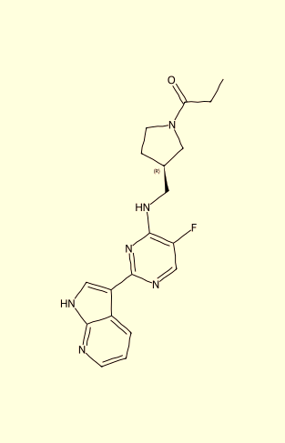 CCC(=O)N1CC[C@H](CNc2nc(-c3c[nH]c4ncccc34)ncc2F)C1